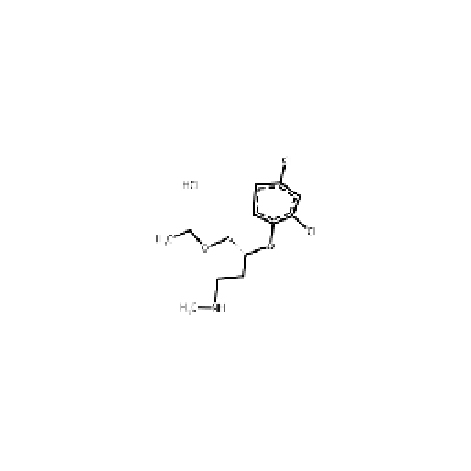 CCOC[C@@H](CCNC)Oc1ccc(Cl)cc1Cl.Cl